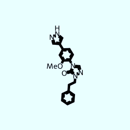 COc1cc(-c2cn[nH]c2)ccc1-n1cnn(CCc2ccccc2)c1=O